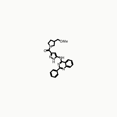 COCC1CCN(C(=O)c2cc(Nc3nc(-c4ccccc4)nc4ccccc34)[nH]n2)C1